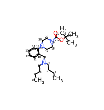 CCCCN(CCCC)Cc1ccccc1N1CCN(C(=O)OC(C)(C)C)CC1